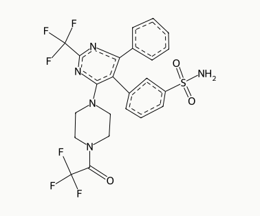 NS(=O)(=O)c1cccc(-c2c(-c3ccccc3)nc(C(F)(F)F)nc2N2CCN(C(=O)C(F)(F)F)CC2)c1